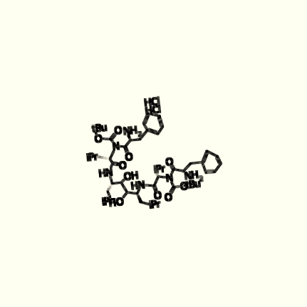 CC(C)C[C@H](NC(=O)[C@H](C(C)C)N(C(=O)OC(C)(C)C)C(=O)[C@@H](N)Cc1ccccc1)C(O)C(O)[C@H](CC(C)C)NC(=O)[C@H](C(C)C)N(C(=O)OC(C)(C)C)C(=O)[C@@H](N)Cc1ccccc1.Cl.Cl